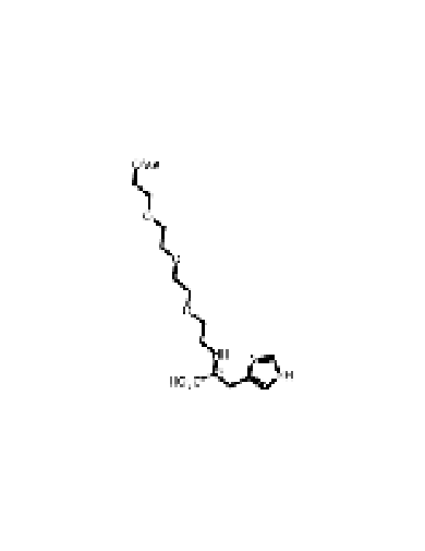 COCCOCCOCCOCCN[C@@H](Cc1c[nH]cn1)C(=O)O